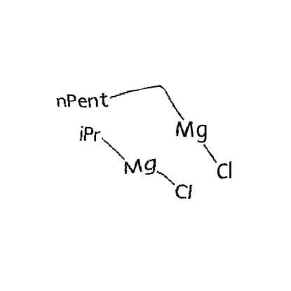 CCCCC[CH2][Mg][Cl].C[CH](C)[Mg][Cl]